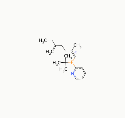 C=C(CC)CC/C(C)=C\P(c1ccccn1)C(C)(C)C